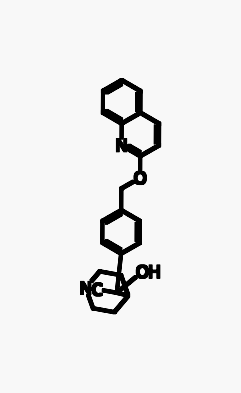 OC1(c2ccc(COc3ccc4ccccc4n3)cc2)CN2CCC1CC2